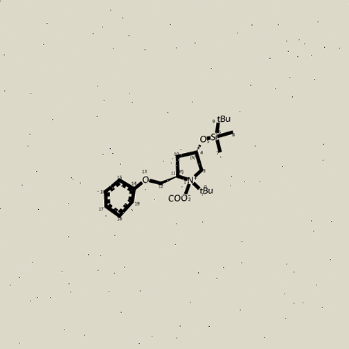 CC(C)(C)[N+]1(C(=O)[O-])C[C@@H](O[Si](C)(C)C(C)(C)C)C[C@@H]1COc1ccccc1